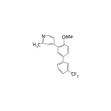 COc1ccc(-c2cccc(C(F)(F)F)c2)cc1-c1ccnc(C)c1